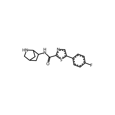 O=C(NC1CC2CNC1C2)c1ncc(-c2ccc(F)cc2)s1